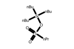 CCCC[Si](CCCC)(CCCC)OS(=O)(=O)CCC